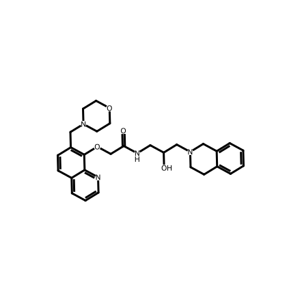 O=C(COc1c(CN2CCOCC2)ccc2cccnc12)NCC(O)CN1CCc2ccccc2C1